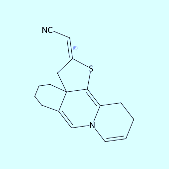 N#C/C=C1\CC23CCCCC2=CN2C=CCCC2=C3S1